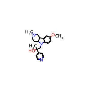 COc1ccc2c(c1)C1CN(C)CCC1N2CC(C)(O)c1ccncc1